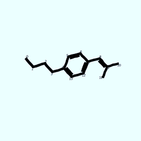 CCCCc1ccc(C=C(C)C)cc1